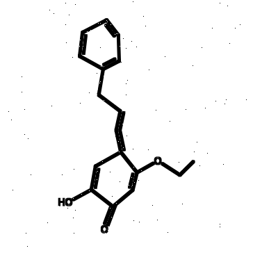 CCOC1=CC(=O)C(O)=CC1=C=CCc1ccccc1